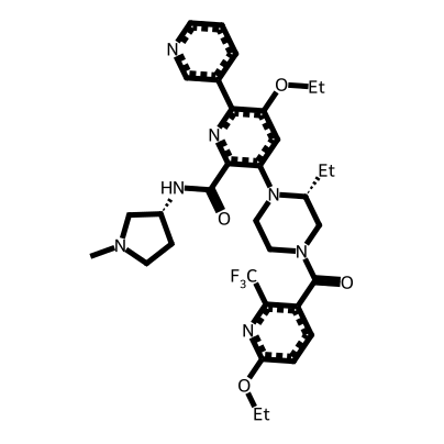 CCOc1ccc(C(=O)N2CCN(c3cc(OCC)c(-c4cccnc4)nc3C(=O)N[C@@H]3CCN(C)C3)[C@H](CC)C2)c(C(F)(F)F)n1